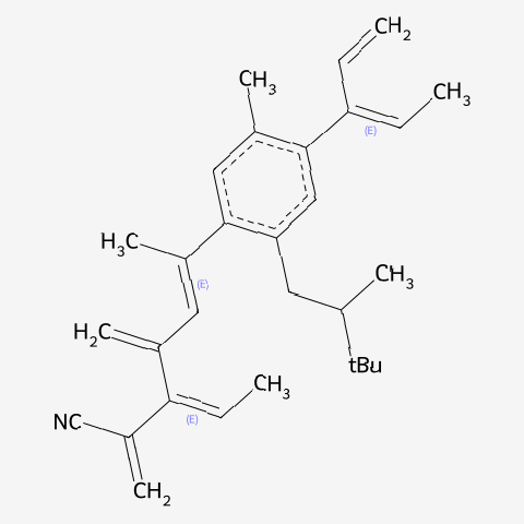 C=C/C(=C\C)c1cc(CC(C)C(C)(C)C)c(/C(C)=C/C(=C)/C(=C\C)C(=C)C#N)cc1C